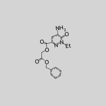 CCn1nc(C(=O)OCC(=O)OCc2ccccc2)cc(N)c1=O